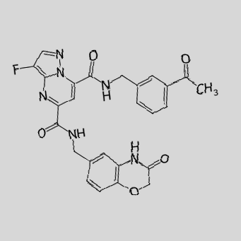 CC(=O)c1cccc(CNC(=O)c2cc(C(=O)NCc3ccc4c(c3)NC(=O)CO4)nc3c(F)cnn23)c1